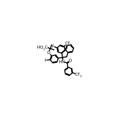 CC(C)(Oc1cc(C(Cc2ccccc2)(NC(=O)c2cccc(C(F)(F)F)c2)c2cc(F)cc(C(F)(F)F)c2)ccc1F)C(=O)O